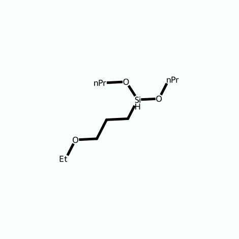 CCCO[SiH](CCCOCC)OCCC